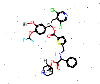 CC(C)Oc1cc([C@H](Cc2c(Cl)cncc2Cl)OC(=O)c2ccc(CNC(C(=O)O[C@H]3CN4CCC3CC4)c3ccccc3)s2)ccc1OC(F)F